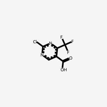 O=C(O)c1cnc(Cl)nc1C(F)(F)F